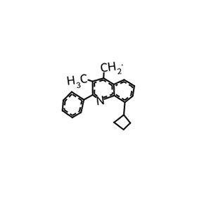 [CH2]c1c(C)c(-c2ccccc2)nc2c(C3CCC3)cccc12